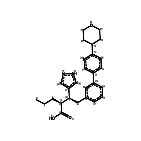 CCC[C@H](C(=O)O)[C@H](Cc1cccc(-c2ccc(N3CCOCC3)nc2)c1)c1nn[nH]n1